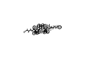 CCCCCC(O)C(CC(O)C(CC(O)C(CCCCCC[C]=O)[N+](=O)[O-])[N+](=O)[O-])[N+](=O)[O-]